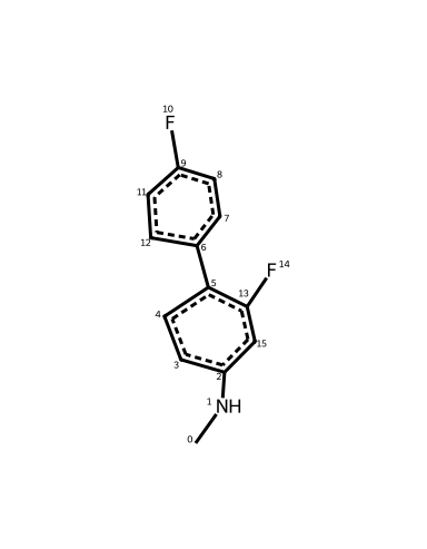 CNc1ccc(-c2ccc(F)cc2)c(F)c1